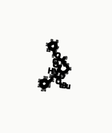 CC(C(=O)OCc1ccccc1)N1CCCCC(N[C@@H](CCc2ccccc2)C(=O)OC(C)(C)C)C1=O